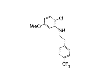 COc1ccc(Cl)c(NCCc2ccc(C(F)(F)F)cc2)c1